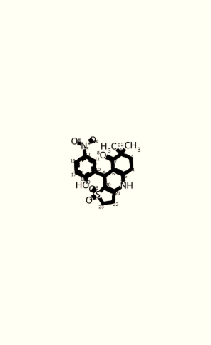 CC1(C)CCC2=C(C1=O)C(c1cc([N+](=O)[O-])ccc1O)C1=C(CCS1(=O)=O)N2